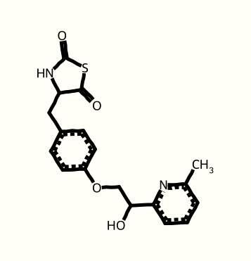 Cc1cccc(C(O)COc2ccc(CC3NC(=O)SC3=O)cc2)n1